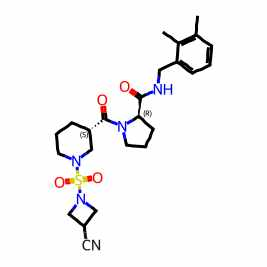 Cc1cccc(CNC(=O)[C@H]2CCCN2C(=O)[C@H]2CCCN(S(=O)(=O)N3CC(C#N)C3)C2)c1C